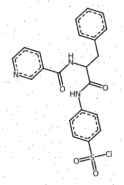 O=C(NC(Cc1ccccc1)C(=O)Nc1ccc(S(=O)(=O)Cl)cc1)c1cccnc1